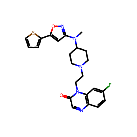 CN(c1cc(-c2cccs2)on1)C1CCN(CCn2c(=O)cnc3ccc(F)cc32)CC1